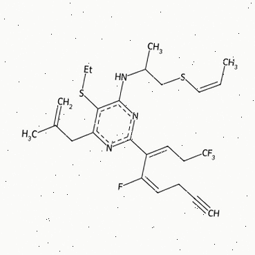 C#CC/C=C(F)\C(=C/CC(F)(F)F)c1nc(CC(=C)C)c(SCC)c(NC(C)CS/C=C\C)n1